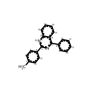 Cc1ccc(-c2nc(-c3ccccc3)c3ccccc3n2)cc1